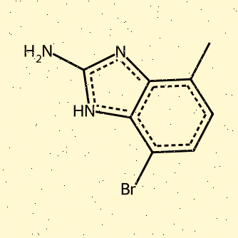 Cc1ccc(Br)c2[nH]c(N)nc12